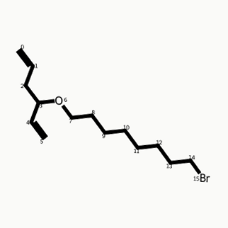 C=CCC(C=C)OCCCCCCCCBr